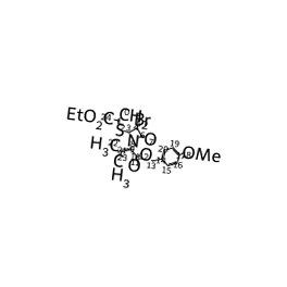 C=C(SC1C(Br)C(=O)N1C(C(=O)OCc1ccc(OC)cc1)=C(C)C)C(=O)OCC